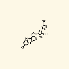 O[C@@H]1[C@H](O)[C@@H](c2cc(C3CC3)no2)O[C@H]1n1cnc2c(Nc3ccc(Cl)cc3F)ncnc21